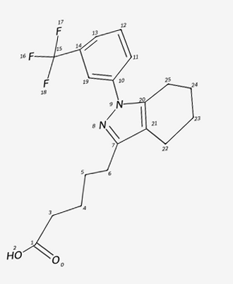 O=C(O)CCCCc1nn(-c2cccc(C(F)(F)F)c2)c2c1CCCC2